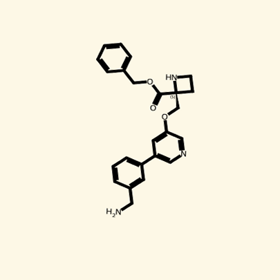 NCc1cccc(-c2cncc(OC[C@]3(C(=O)OCc4ccccc4)CCN3)c2)c1